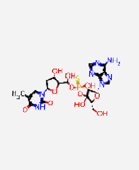 Cc1cn([C@H]2C[C@H](O)[C@@H](C(O)OP(O)(=S)O[C@]3(O)C[C@H](n4cnc5c(N)ncnc54)O[C@@H]3CO)O2)c(=O)[nH]c1=O